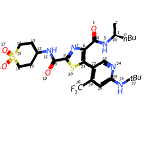 CCCC[C@H](C)NC(=O)c1nc(C(=O)NC2CCS(=O)(=O)CC2)sc1-c1cnc(NC(C)(C)C)cc1C(F)(F)F